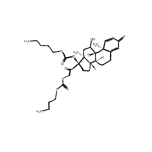 CCCCCOC(=O)O[C@]1(C(=O)COC(=O)OCCCC)CC[C@H]2[C@@H]3CCC4=CC(=O)C=C[C@]4(C)[C@@]3(Cl)C(O)C[C@@]21C